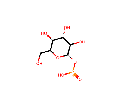 O=[PH](O)O[C@@H]1OC(CO)[C@@H](O)[C@H](O)C1O